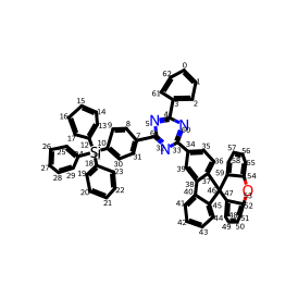 c1ccc(-c2nc(-c3ccc([Si](c4ccccc4)(c4ccccc4)c4ccccc4)cc3)nc(-c3ccc4c(c3)-c3ccccc3C43c4ccccc4Oc4ccccc43)n2)cc1